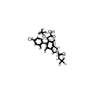 Cc1cc(Cl)ccc1-c1c(C)c2c(c(C)c1[C@H](OC(C)(C)C)C(=O)O)CN(C(=O)CC(C)(C)C)C2